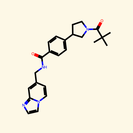 CC(C)(C)C(=O)N1CCC(c2ccc(C(=O)NCc3ccn4ccnc4c3)cc2)C1